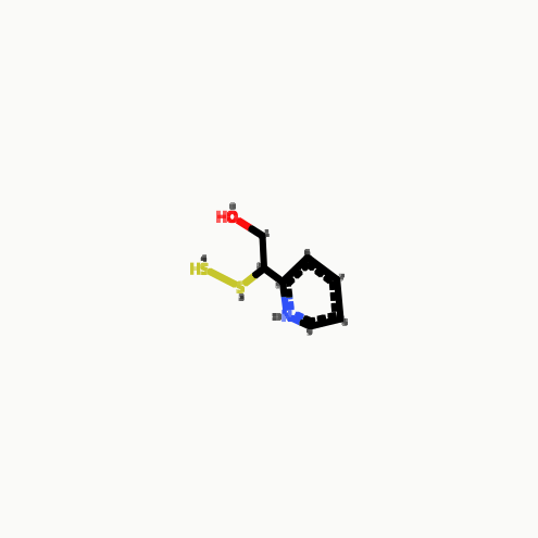 OCC(SS)c1ccccn1